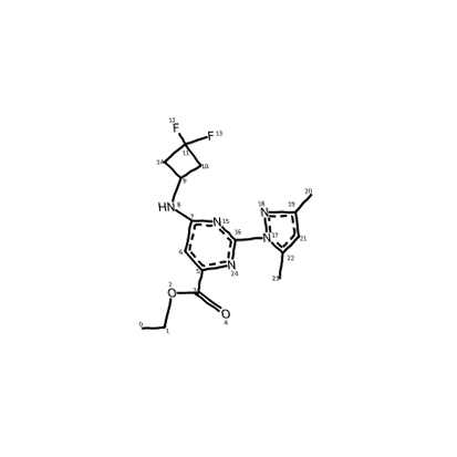 CCOC(=O)c1cc(NC2CC(F)(F)C2)nc(-n2nc(C)cc2C)n1